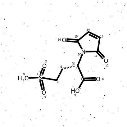 CS(=O)(=O)CC[C@@H](C(=O)O)N1C(=O)C=CC1=O